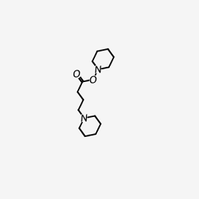 O=C(CCCN1CCCCC1)ON1CCCCC1